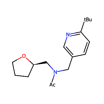 CC(=O)N(Cc1ccc(C(C)(C)C)nc1)C[C@H]1CCCO1